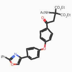 CCOC(=O)C(CC(=O)c1ccc(Oc2ccc(-c3coc(C(C)C)n3)cc2)cc1)(NC(C)=O)C(=O)OCC